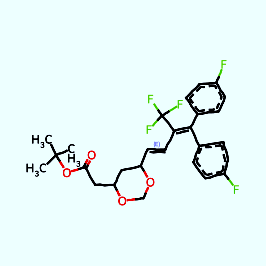 CC(C)(C)OC(=O)CC1CC(/C=C/C(=C(c2ccc(F)cc2)c2ccc(F)cc2)C(F)(F)F)OCO1